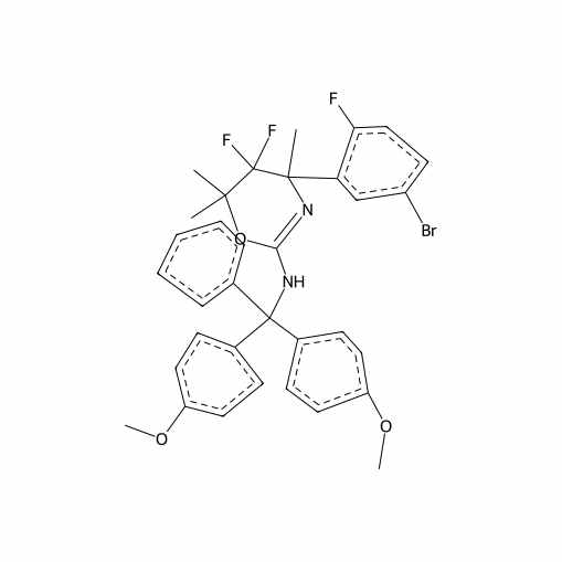 COc1ccc(C(NC2=NC(C)(c3cc(Br)ccc3F)C(F)(F)C(C)(C)O2)(c2ccccc2)c2ccc(OC)cc2)cc1